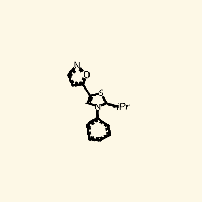 CC(C)C1SC(c2ccno2)=[C]N1c1ccccc1